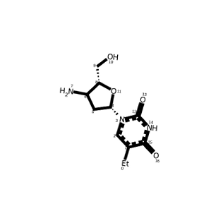 CCc1cn([C@@H]2CC(N)[C@H](CO)O2)c(=O)[nH]c1=O